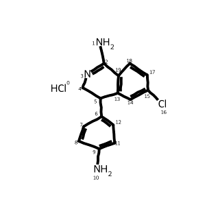 Cl.NC1=NCC(c2ccc(N)cc2)c2cc(Cl)ccc21